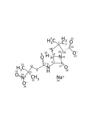 CC1(C)S[C@@H]2C(NC(=O)CCC(C)(C)[N+](=O)[O-])C(=O)N2[C@H]1C(=O)[O-].[Na+]